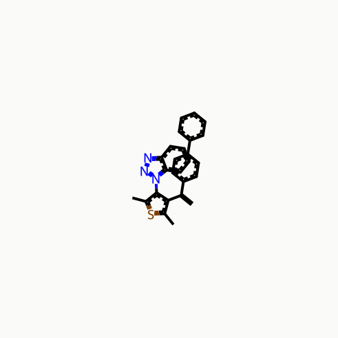 C=C(c1ccc(-c2ccccc2)cc1)c1c(C)sc(C)c1-n1nnc2ccccc21